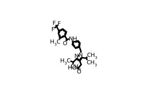 Cc1cc(C(F)(F)F)ccc1C(=O)Nc1ccc(Cn2nc(C(C)C)c(CC(=O)O)c2C(C)C)cc1